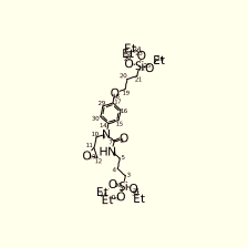 CCO[Si](CCCNC(=O)N(CC1CO1)c1ccc(OCCC[Si](OCC)(OCC)OCC)cc1)(OCC)OCC